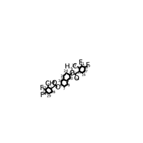 Cc1c(C(=O)Oc2ccc3cc(OC(=O)c4ccc(F)c(F)c4C)ccc3c2)ccc(F)c1F